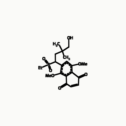 CCS(=O)(=O)C(CC(C)(C)CO)c1cc(OC)c2c(c1OC)C(=O)C=CC2=O